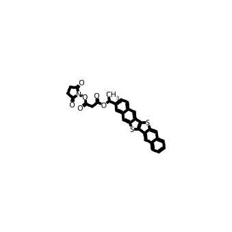 CC(OC(=O)CC(=O)ON1C(=O)CCC1=O)c1ccc2cc3c(cc2c1)sc1c2cc4ccccc4cc2sc31